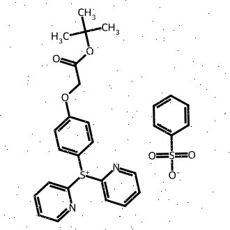 CC(C)(C)OC(=O)COc1ccc([S+](c2ccccn2)c2ccccn2)cc1.O=S(=O)([O-])c1ccccc1